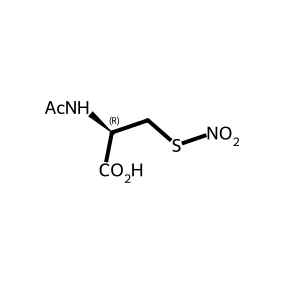 CC(=O)N[C@@H](CS[N+](=O)[O-])C(=O)O